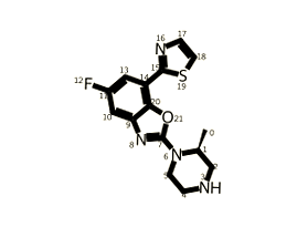 C[C@H]1CNCCN1c1nc2cc(F)cc(-c3nccs3)c2o1